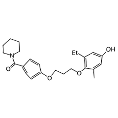 CCc1cc(O)cc(C)c1OCCCOc1ccc(C(=O)N2CCCCC2)cc1